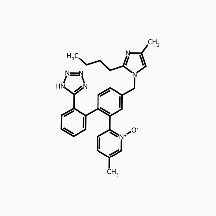 CCCCc1nc(C)cn1Cc1ccc(-c2ccccc2-c2nnn[nH]2)c(-c2ccc(C)c[n+]2[O-])c1